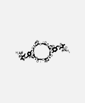 Cc1nn(Cc2ccc(C[C@H]3OC(=O)[C@H](CC(C)C)N(C)C(=O)[C@@H](C)OC(=O)[C@H](CC(C)C)N(C)C(=O)[C@@H](Cc4ccc(Cn5nc(C)c(S(N)(=O)=O)c5C)cc4)OC(=O)[C@H](CC(C)C)N(C)C(=O)[C@@H](C)OC(=O)[C@H](CC(C)C)N(C)C3=O)cc2)c(C)c1S(N)(=O)=O